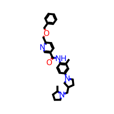 Cc1cc(N2CCC(CN3CCCC3C)C2)ccc1NC(=O)c1ccc(COCc2ccccc2)nc1